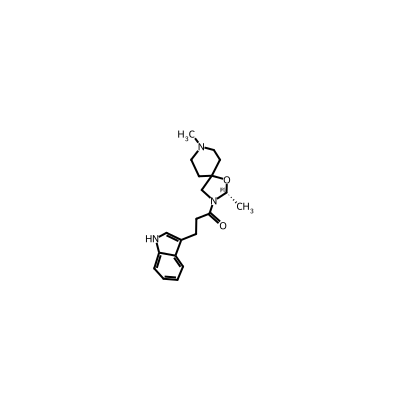 C[C@H]1OC2(CCN(C)CC2)CN1C(=O)CCc1c[nH]c2ccccc12